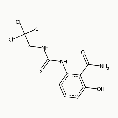 NC(=O)c1c(O)cccc1NC(=S)N[CH]C(Cl)(Cl)Cl